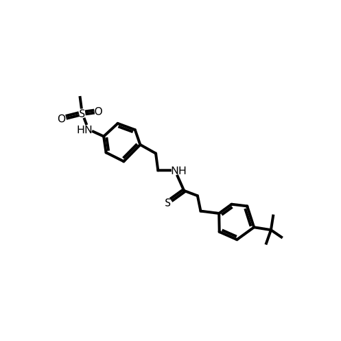 CC(C)(C)c1ccc(CCC(=S)NCCc2ccc(NS(C)(=O)=O)cc2)cc1